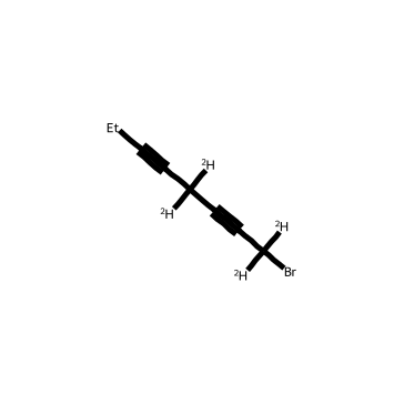 [2H]C([2H])(Br)C#CC([2H])([2H])C#CCC